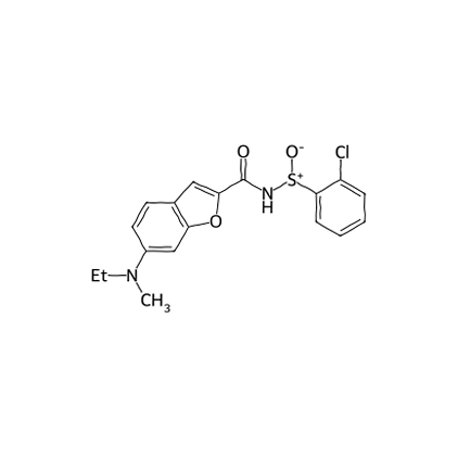 CCN(C)c1ccc2cc(C(=O)N[S+]([O-])c3ccccc3Cl)oc2c1